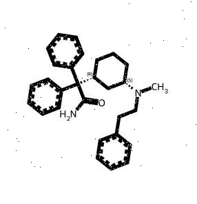 CN(CCc1ccccc1)[C@H]1CCC[C@@H](C(C(N)=O)(c2ccccc2)c2ccccc2)C1